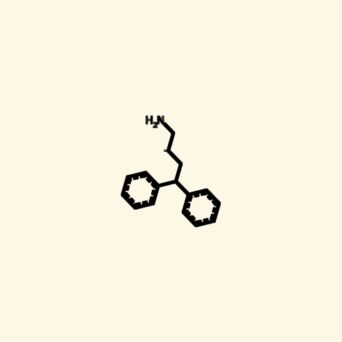 NC[CH]CC(c1ccccc1)c1ccccc1